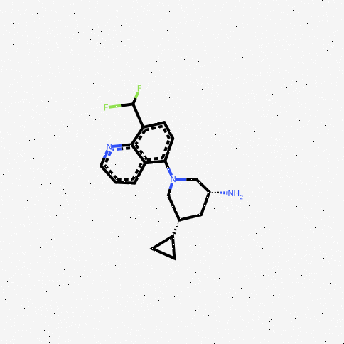 N[C@@H]1C[C@H](C2CC2)CN(c2ccc(C(F)F)c3ncccc23)C1